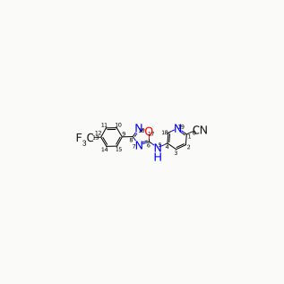 N#Cc1ccc(Nc2nc(-c3ccc(C(F)(F)F)cc3)no2)cn1